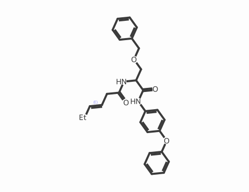 CC/C=C/CC(=O)NC(COCc1ccccc1)C(=O)Nc1ccc(Oc2ccccc2)cc1